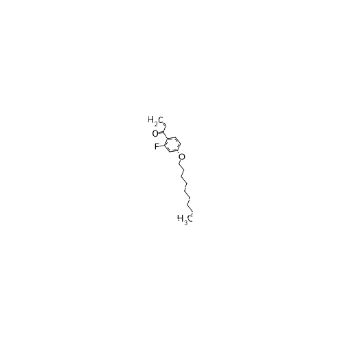 C=CC(=O)c1ccc(OCCCCCCCCC)cc1F